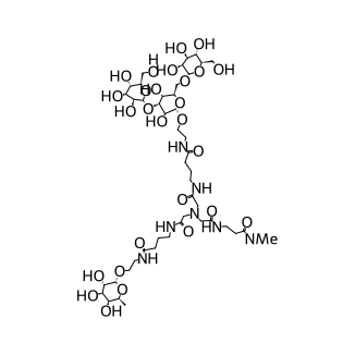 CNC(=O)CCNC(=O)CN(CC(=O)NCCCC(=O)NCCO[C@@H]1O[C@@H](C)[C@@H](O)[C@@H](O)[C@@H]1O)CC(=O)NCCCC(=O)NCCO[C@H]1O[C@H](CO[C@H]2O[C@H](CO)[C@@H](O)[C@H](O)[C@@H]2O)[C@@H](O)[C@H](O[C@H]2O[C@H](CO)[C@@H](O)[C@H](O)[C@@H]2O)[C@@H]1O